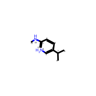 C=C(/C=C\C(=C/N)C(C)C)NC